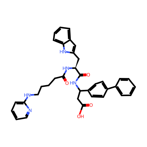 O=C(O)CC(NC(=O)[C@H](Cc1cc2ccccc2[nH]1)NC(=O)CCCCNc1ccccn1)c1ccc(-c2ccccc2)cc1